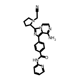 N#CCN1CCCC1c1nc(-c2ccc(C(=O)Nc3ccccn3)cc2)c2c(N)nccn12